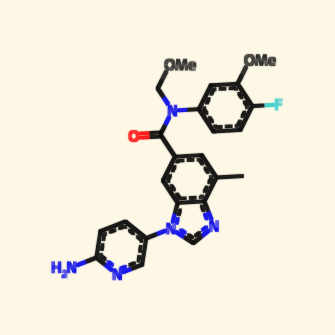 COCN(C(=O)c1cc(C)c2ncn(-c3ccc(N)nc3)c2c1)c1ccc(F)c(OC)c1